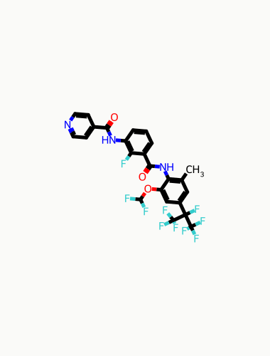 Cc1cc(C(F)(C(F)(F)F)C(F)(F)F)cc(OC(F)F)c1NC(=O)c1cccc(NC(=O)c2ccncc2)c1F